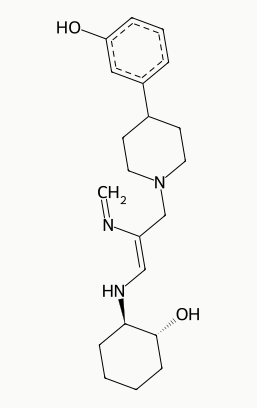 C=N/C(=C\N[C@@H]1CCCC[C@H]1O)CN1CCC(c2cccc(O)c2)CC1